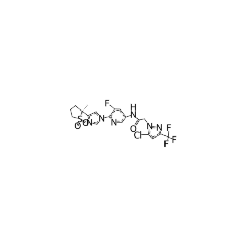 C[C@@]1(c2cn(-c3ncc(NC(=O)Cn4nc(C(F)(F)F)cc4Cl)cc3F)cn2)CCCS1(=O)=O